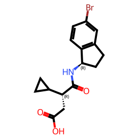 O=C(O)C[C@@H](C(=O)N[C@@H]1CCc2cc(Br)ccc21)C1CC1